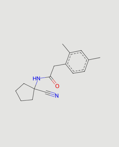 Cc1ccc(CC(=O)NC2(C#N)CCCC2)c(C)c1